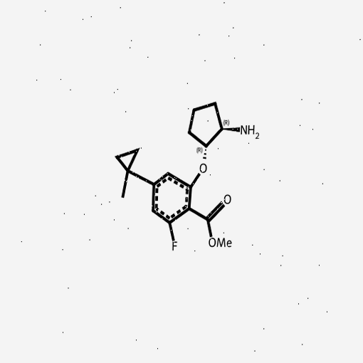 COC(=O)c1c(F)cc(C2(C)CC2)cc1O[C@@H]1CCC[C@H]1N